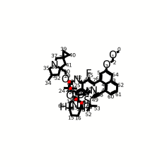 COCOc1cc(-c2ncc3c(N4C[C@H]5CC[C@@H](C4)N5C(=O)OC(C)(C)C)nc(OCC45CC(C)CN4CC4(CC4)C5)nc3c2F)c2c(C#C[Si](C(C)C)(C(C)C)C(C)C)cccc2c1